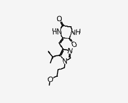 COCCCn1cnc(C=C2NC(=O)CNC2=O)c1C(C)C